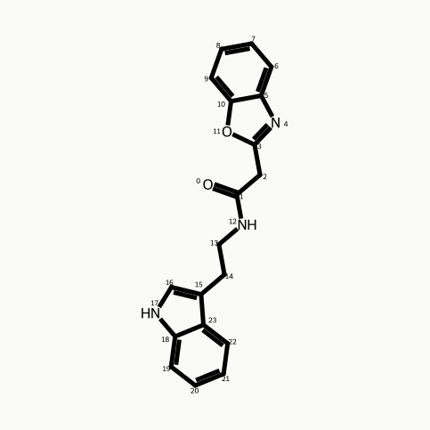 O=C(Cc1nc2ccccc2o1)NCCc1c[nH]c2ccccc12